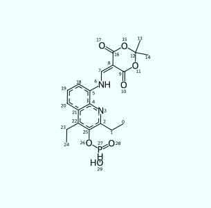 CCc1nc2c(NC=C3C(=O)OC(C)(C)OC3=O)cccc2c(CC)c1O[PH](=O)O